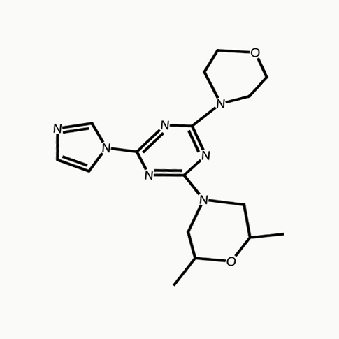 CC1CN(c2nc(N3CCOCC3)nc(-n3ccnc3)n2)CC(C)O1